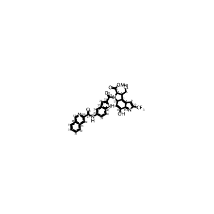 COC(=O)C1C(CCl)C2=C3C=C(C(F)(F)F)N=C3C(O)=CC2N1C(=O)c1cc2cc(NC(=O)c3cc4ccccc4cn3)ccc2[nH]1